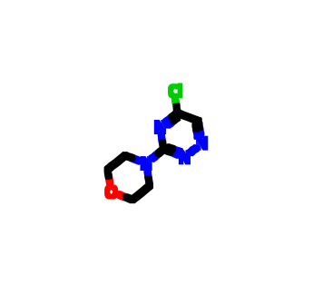 Clc1cnnc(N2CCOCC2)n1